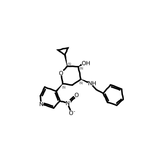 O=[N+]([O-])c1cnccc1[C@@H]1C[C@H](NCc2ccccc2)[C@H](O)[C@H](C2CC2)O1